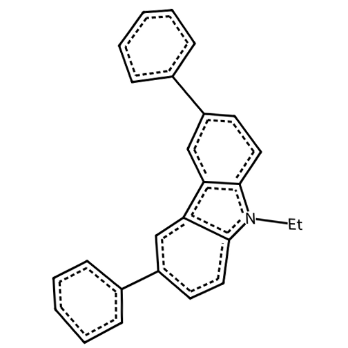 CCn1c2ccc(-c3ccccc3)cc2c2cc(-c3ccccc3)ccc21